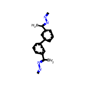 B/C(=N\N=C)c1cccc(-c2cccc(/C(B)=N/N=C)c2)c1